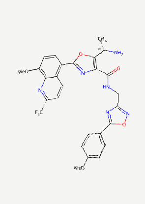 COc1ccc(-c2nc(CNC(=O)c3nc(-c4ccc(OC)c5nc(C(F)(F)F)ccc45)oc3[C@H](C)N)no2)cc1